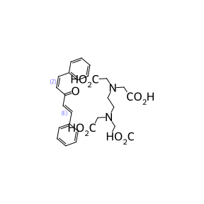 O=C(/C=C\c1ccccc1)/C=C/c1ccccc1.O=C(O)CN(CCN(CC(=O)O)CC(=O)O)CC(=O)O